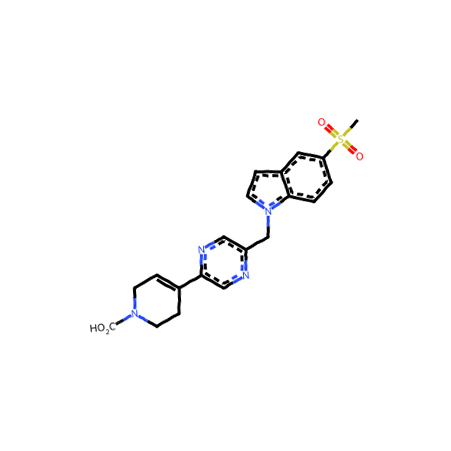 CS(=O)(=O)c1ccc2c(ccn2Cc2cnc(C3=CCN(C(=O)O)CC3)cn2)c1